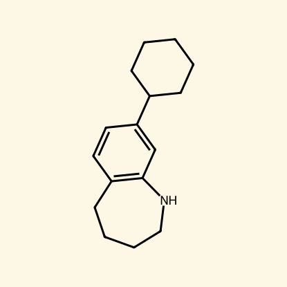 c1cc2c(cc1C1CCCCC1)NCCCC2